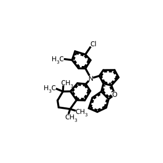 Cc1cc(Cl)cc(N(c2ccc3c(c2)C(C)(C)CCC3(C)C)c2cccc3oc4ccccc4c23)c1